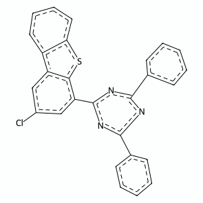 Clc1cc(-c2nc(-c3ccccc3)nc(-c3ccccc3)n2)c2sc3ccccc3c2c1